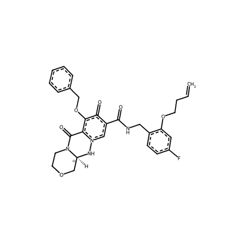 C=CCCOc1cc(F)ccc1CNC(=O)c1cn2c(c(OCc3ccccc3)c1=O)C(=O)N1CCOC[C@@H]1N2